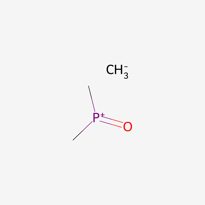 C[P+](C)=O.[CH3-]